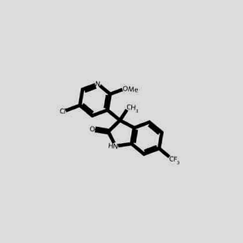 COc1ncc(Cl)cc1C1(C)C(=O)Nc2cc(C(F)(F)F)ccc21